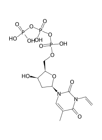 C=Cn1c(=O)c(C)cn([C@H]2C[C@@H](O)[C@@H](COP(=O)(O)OP(=O)(O)OP(=O)(O)O)O2)c1=O